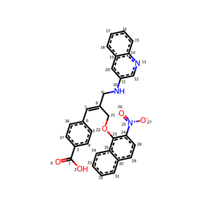 O=C(O)c1ccc(C=C(CNc2cnc3ccccc3c2)COc2c([N+](=O)[O-])ccc3ccccc23)cc1